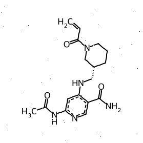 C=CC(=O)N1CCC[C@H](CNc2cc(NC(C)=O)ncc2C(N)=O)C1